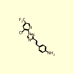 Nc1ccc(/C=C/c2ncn(-c3ncc(C(F)(F)F)cc3Cl)n2)cc1